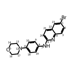 Brc1ccc2nc(Nc3ccc(N4CCOCC4)cc3)ccc2c1